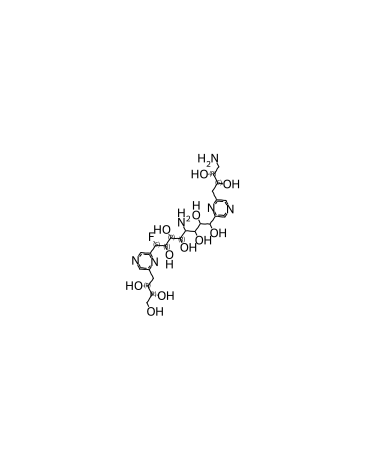 NC[C@@H](O)[C@@H](O)Cc1cncc(C(O)C(O)C(O)C(N)[C@@H](O)[C@@H](O)[C@@H](O)[C@@H](F)c2cncc(C[C@@H](O)[C@H](O)CO)n2)n1